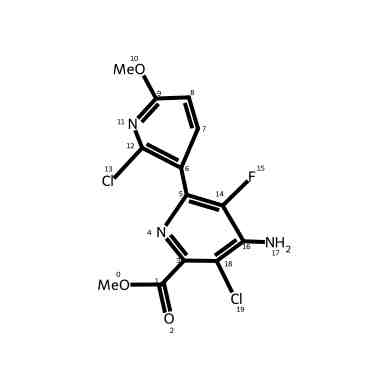 COC(=O)c1nc(-c2ccc(OC)nc2Cl)c(F)c(N)c1Cl